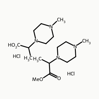 CC(C(=O)O)N1CCN(C)CC1.COC(=O)C(C)N1CCN(C)CC1.Cl.Cl